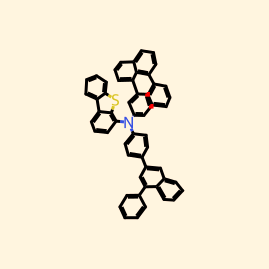 c1ccc(-c2cc(-c3ccc(N(c4cccc(-c5cccc6cccc(-c7ccccc7)c56)c4)c4cccc5c4sc4ccccc45)cc3)cc3ccccc23)cc1